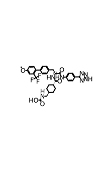 COc1ccc(-c2ccc(C[C@H](NC(=O)[C@H]3CC[C@H](CNC(=O)O)CC3)C(=O)Nc3ccc(-c4nn[nH]n4)cc3)cc2)c(C(F)(F)F)c1